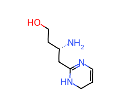 N[C@@H](CCO)CC1=NC=CCN1